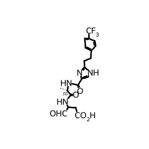 C[C@H](NC(=O)c1c[nH]c(CCc2ccc(C(F)(F)F)cc2)n1)C(=O)NC(C=O)CC(=O)O